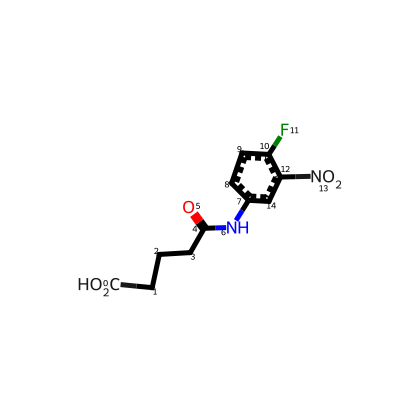 O=C(O)CCCC(=O)Nc1ccc(F)c([N+](=O)[O-])c1